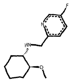 CO[C@H]1CCCC[C@@H]1NCc1ccc(F)cn1